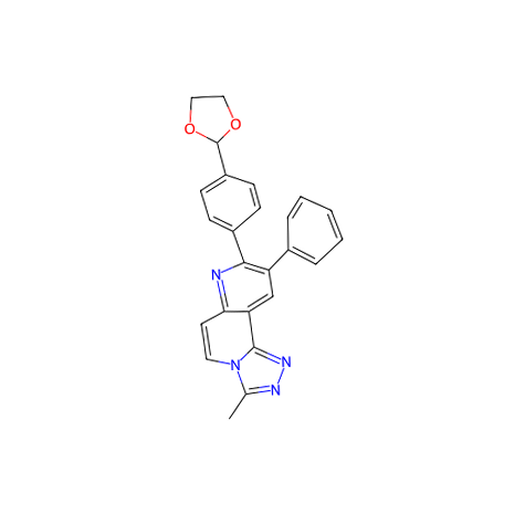 Cc1nnc2c3cc(-c4ccccc4)c(-c4ccc(C5OCCO5)cc4)nc3ccn12